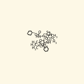 CC(C)(C)OC(=O)N[C@@H](Cc1ccccc1)[C@H](C[C@@H](Cc1cncs1)NC(=O)OCc1ccccc1)O[Si](C)(C)C(C)(C)C